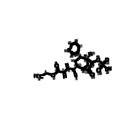 CCOC(=O)NNC(=O)[C@@H]1CC[C@@H]2CN1C(=O)N2OS(=O)(=O)O.c1ccncc1